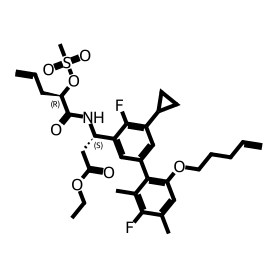 C=CCCCOc1cc(C)c(F)c(C)c1-c1cc(C2CC2)c(F)c([C@H](CC(=O)OCC)NC(=O)[C@@H](CC=C)OS(C)(=O)=O)c1